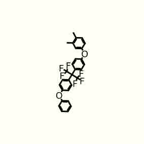 Cc1ccc(Oc2ccc(C(c3ccc(Oc4ccccc4)cc3)(C(F)(F)F)C(F)(F)F)cc2)cc1C